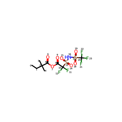 CCC(C)(C)C(=O)OC(=O)C(F)(F)S(=O)(=O)NS(=O)(=O)C(F)(F)F